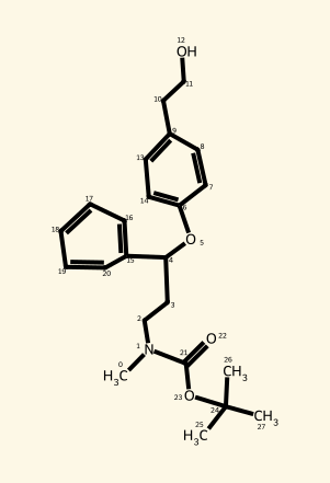 CN(CCC(Oc1ccc(CCO)cc1)c1ccccc1)C(=O)OC(C)(C)C